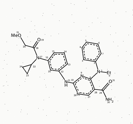 CCN(c1ccccc1)c1nc(Nc2cccc(N(C(=O)COC)C3CC3)c2)ncc1C(N)=O